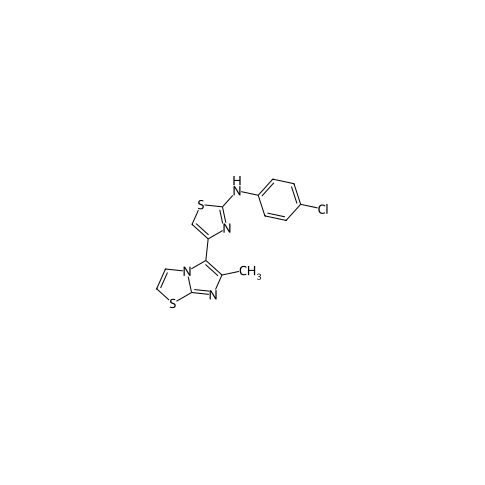 Cc1nc2sccn2c1-c1csc(Nc2ccc(Cl)cc2)n1